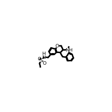 CCS(=O)(=O)NCc1ccc2c(c1)C(Cc1ccccc1)C(NC)CO2